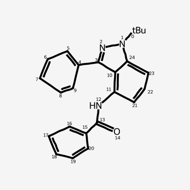 CC(C)(C)n1nc(-c2ccccc2)c2c(NC(=O)c3ccccc3)cccc21